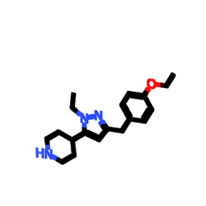 CCOc1ccc(Cc2cc(C3CCNCC3)n(CC)n2)cc1